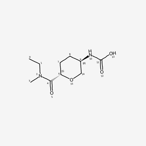 CCN(C)C(=O)[C@@H]1CC[C@@H](NC(=O)O)CO1